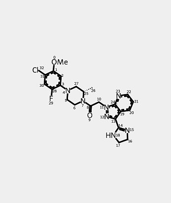 COc1cc(N2CCN(C(=O)Cn3nc(C4=NCCN4)c4cccnc43)[C@@H](C)C2)c(F)cc1Cl